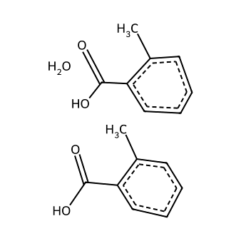 Cc1ccccc1C(=O)O.Cc1ccccc1C(=O)O.O